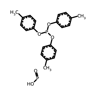 Cc1ccc(OP(Oc2ccc(C)cc2)Oc2ccc(C)cc2)cc1.O=PO